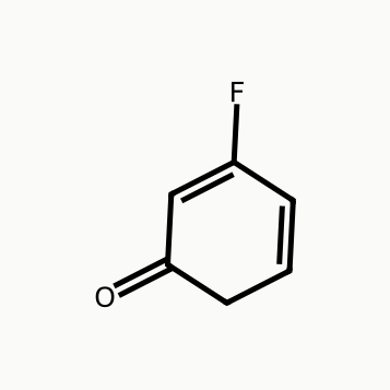 O=C1C=C(F)C=CC1